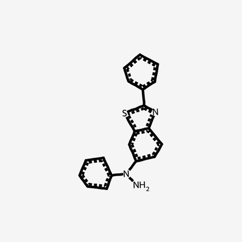 NN(c1ccccc1)c1ccc2nc(-c3ccccc3)sc2c1